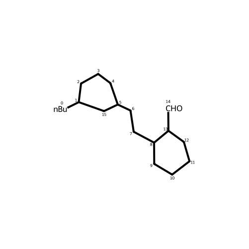 CCCCC1CCCC(CCC2CCCCC2C=O)C1